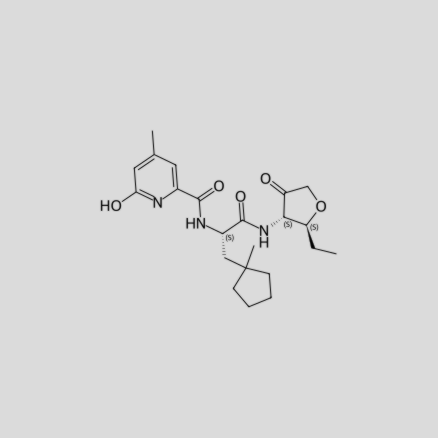 CC[C@@H]1OCC(=O)[C@H]1NC(=O)[C@H](CC1(C)CCCC1)NC(=O)c1cc(C)cc(O)n1